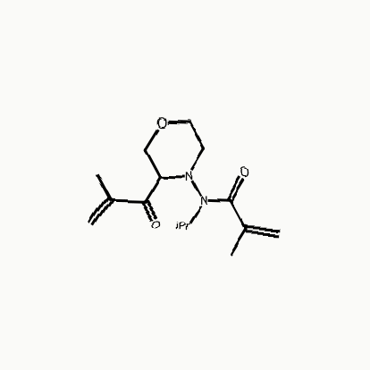 C=C(C)C(=O)C1COCCN1N(C(=O)C(=C)C)C(C)C